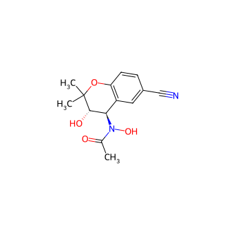 CC(=O)N(O)[C@@H]1c2cc(C#N)ccc2OC(C)(C)[C@H]1O